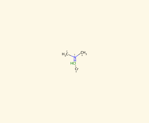 CNC.Cl.[Cr]